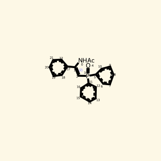 CC(=O)N/C(=C\P(=O)(c1ccccc1)c1ccccc1)c1ccccc1